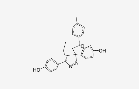 CCC1=C(c2ccc(O)cc2)N=NC1(CC(=O)c1ccc(C)cc1)c1ccc(O)cc1